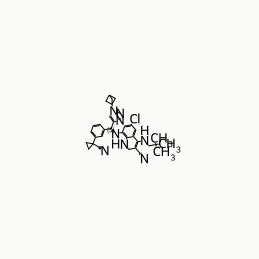 CC(C)(C)CNc1c(C#N)cnc2c(N[C@@H](c3cccc(C4(C#N)CC4)c3)c3cn(C45CC(C4)C5)nn3)cc(Cl)cc12